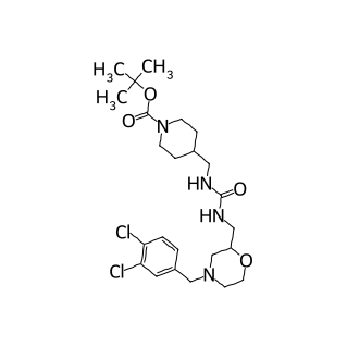 CC(C)(C)OC(=O)N1CCC(CNC(=O)NCC2CN(Cc3ccc(Cl)c(Cl)c3)CCO2)CC1